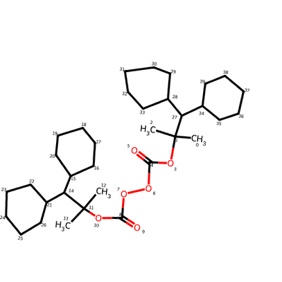 CC(C)(OC(=O)OOC(=O)OC(C)(C)C(C1CCCCC1)C1CCCCC1)C(C1CCCCC1)C1CCCCC1